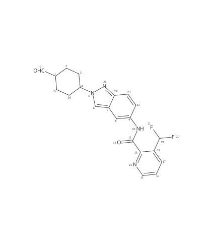 O=CC1CCC(n2cc3cc(NC(=O)c4ncccc4C(F)F)ccc3n2)CC1